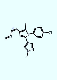 C=N/C=C\c1cc(-c2cnn(C)c2)n(-c2ccc(Cl)cc2)c1C